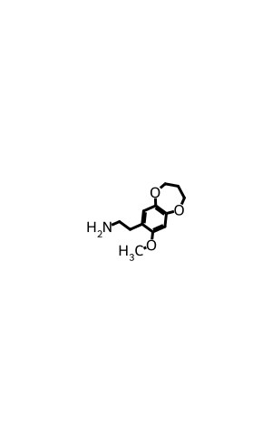 COc1cc2c(cc1CCN)OCCCO2